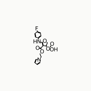 O=C1COC(Nc2ccc(F)cc2)=C1C(=O)OCCn1cccc1.O=CO